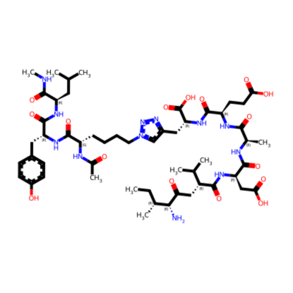 CC[C@@H](C)[C@@H](N)C(=O)C[C@@H](C(=O)N[C@H](CC(=O)O)C(=O)N[C@H](C)C(=O)N[C@H](CCC(=O)O)C(=O)N[C@H](Cc1cn(CCCC[C@H](NC(C)=O)C(=O)N[C@H](Cc2ccc(O)cc2)C(=O)N[C@H](CC(C)C)C(=O)NC)nn1)C(=O)O)C(C)C